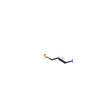 [S]C/C=C/I